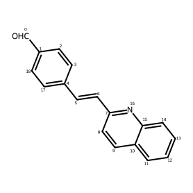 O=Cc1ccc(/C=C/c2ccc3ccccc3n2)cc1